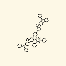 c1ccc(-c2nc(-c3ccccc3)nc(-c3cc(-c4ccc5c(c4)oc4cc6c(cc45)c4ccccc4n6-c4ccccc4)ccc3-c3ccc4c(c3)oc3cc5c(cc34)c3ccccc3n5-c3ccccc3)n2)cc1